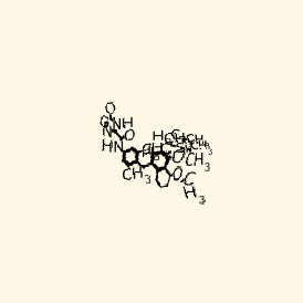 CCOC1CCCc2c(Cc3c(C)cc(NC(=O)c4noc(=O)[nH]4)cc3C)ccc(O[Si](C(C)C)(C(C)C)C(C)C)c21